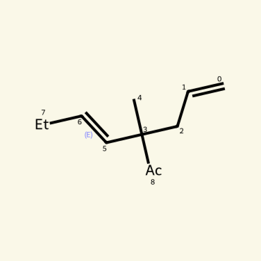 C=CCC(C)(/C=C/CC)C(C)=O